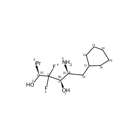 CC(C)[C@H](O)C(F)(F)[C@H](O)[C@@H](N)CC1CCCCC1